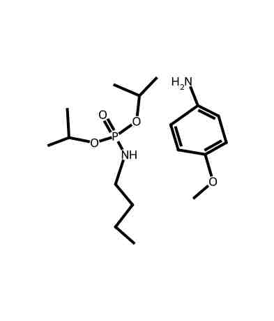 CCCCNP(=O)(OC(C)C)OC(C)C.COc1ccc(N)cc1